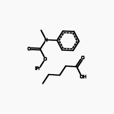 CC(C)OC(=O)N(C)c1ccccc1.CCCCC(=O)O